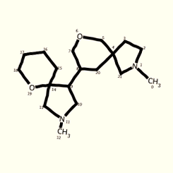 CN1CCC2(COCC(C3CN(C)CC34CCCCO4)C2)C1